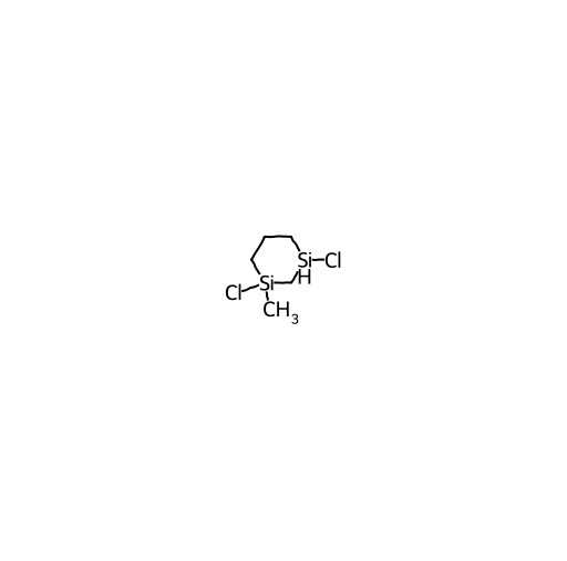 C[Si]1(Cl)CCC[SiH](Cl)C1